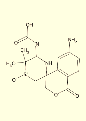 CC1(C)C(=NC(=O)O)NC2(COC(=O)c3ccc(N)cc32)C[S+]1[O-]